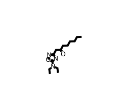 CCCCCCC(=O)Cc1noc(N(CC)CC)n1